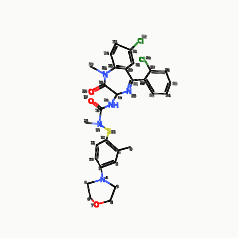 Cc1cc(N2CCOCC2)ccc1SN(C)C(=O)NC1N=C(c2ccccc2Cl)c2cc(Cl)ccc2N(C)C1=O